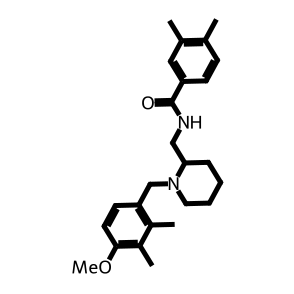 COc1ccc(CN2CCCCC2CNC(=O)c2ccc(C)c(C)c2)c(C)c1C